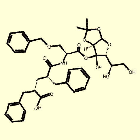 CC1(C)OC2O[C@H]([C@H](O)CO)[C@](O)(OC(=O)[C@H](COCc3ccccc3)NC(=O)[C@H](Cc3ccccc3)C[C@@H](Cc3ccccc3)C(=O)O)[C@H]2O1